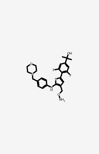 CC(C)(O)c1cc(F)c(-c2cc(CON)c(Nc3ccc(CN4CCOCC4)cc3)s2)c(F)c1